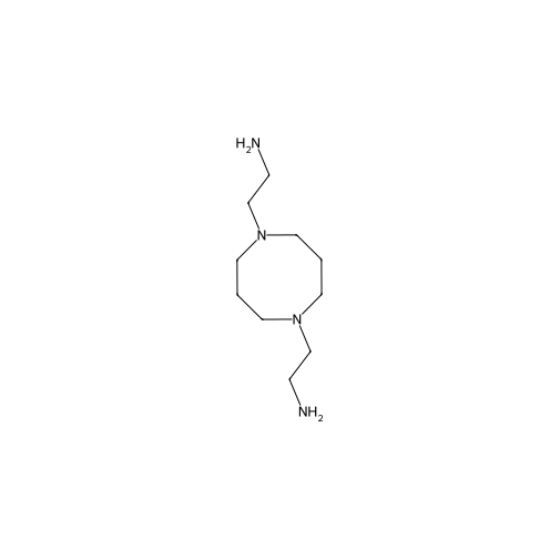 NCCN1CCCN(CCN)CCC1